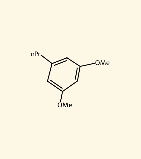 C[CH]Cc1cc(OC)cc(OC)c1